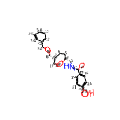 O=C(NC[C@H]1CC[C@@H](COCc2ccccc2)CO1)c1ccc(O)cc1